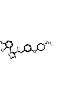 CN1CCC(Oc2cccc(CNc3nnnn3-c3cccc(Cl)c3Cl)c2)CC1